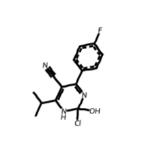 CC(C)C1=C(C#N)C(c2ccc(F)cc2)=NC(O)(Cl)N1